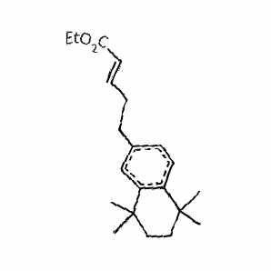 CCOC(=O)C=CCCc1ccc2c(c1)C(C)(C)CCC2(C)C